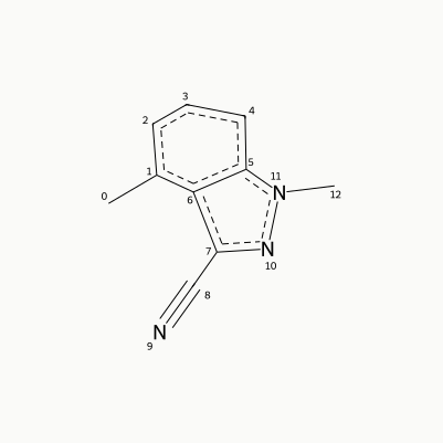 Cc1cccc2c1c(C#N)nn2C